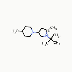 CC1CCN(C2C[C@H](C)N(C(C)(C)C)C2)CC1